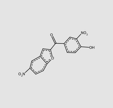 O=C(c1ccc(O)c([N+](=O)[O-])c1)c1cc2cc([N+](=O)[O-])ccc2o1